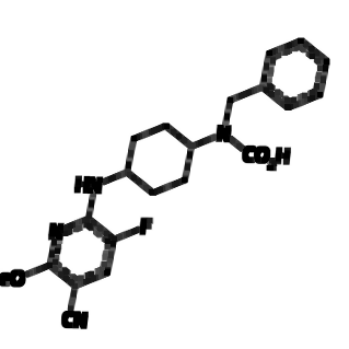 COc1nc(NC2CCC(N(Cc3ccccc3)C(=O)O)CC2)c(F)cc1C#N